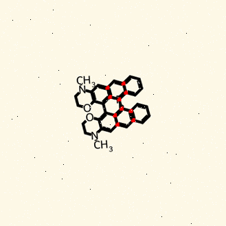 CN1CCOC2=C(c3c(P(c4ccccc4)c4ccccc4)ccc4c3OCCN4C)C(P(c3ccccc3)c3ccccc3)CC=C21